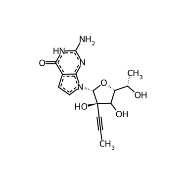 CC#C[C@@]1(O)C(O)[C@@H]([C@H](C)O)O[C@H]1n1ccc2c(=O)[nH]c(N)nc21